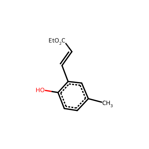 CCOC(=O)/C=C/c1cc(C)ccc1O